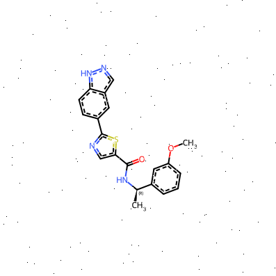 COc1cccc([C@@H](C)NC(=O)c2cnc(-c3ccc4[nH]ncc4c3)s2)c1